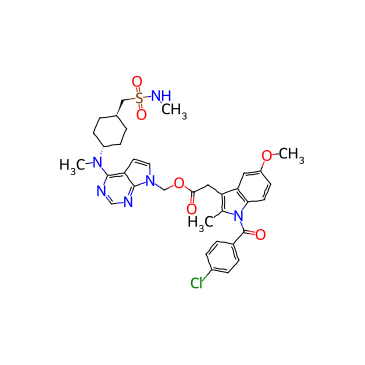 CNS(=O)(=O)C[C@H]1CC[C@H](N(C)c2ncnc3c2ccn3COC(=O)Cc2c(C)n(C(=O)c3ccc(Cl)cc3)c3ccc(OC)cc23)CC1